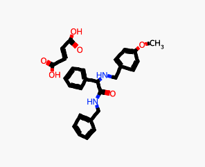 COc1ccc(CNC(C(=O)NCc2ccccc2)c2ccccc2)cc1.O=C(O)C=CC(=O)O